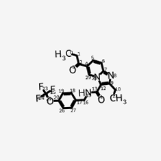 CCC(=O)c1ccc2nc(CC)c(C(=O)NCc3ccc(OC(F)(F)F)cc3)n2c1